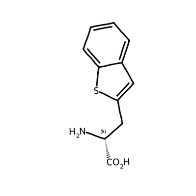 N[C@H](Cc1cc2ccccc2s1)C(=O)O